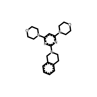 c1ccc2c(c1)CCN(c1nc(N3CCOCC3)cc(N3CCOCC3)n1)C2